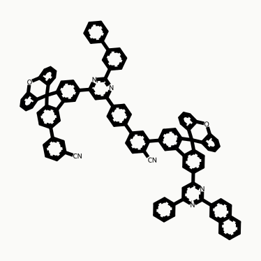 N#Cc1cccc(-c2ccc3c(c2)-c2cc(-c4cc(-c5ccc(-c6ccc(C#N)c(-c7ccc8c(c7)-c7cc(-c9cc(-c%10ccccc%10)nc(-c%10ccc%11ccccc%11c%10)n9)ccc7C87c8ccccc8Oc8ccccc87)c6)cc5)nc(-c5cccc(-c6ccccc6)c5)n4)ccc2C32c3ccccc3Oc3ccccc32)c1